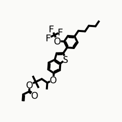 C=CC(=O)OC(C)(C)CC(C)Oc1ccc2cc(-c3ccc(CCCCC)cc3OC(F)(F)F)sc2c1